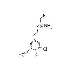 C#Cc1cc(CCC[C@@H](N)CF)cc(Cl)c1F